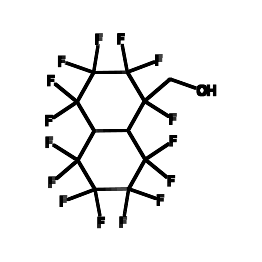 OCC1(F)C2C(C(F)(F)C(F)(F)C(F)(F)C2(F)F)C(F)(F)C(F)(F)C1(F)F